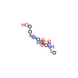 CC(c1ccc(-c2cccc(O)c2)cc1)N1CCN(c2ccc(C(=O)NS(=O)(=O)c3ccc(NCCSc4ccccc4)c(N=O)c3)cc2)CC1